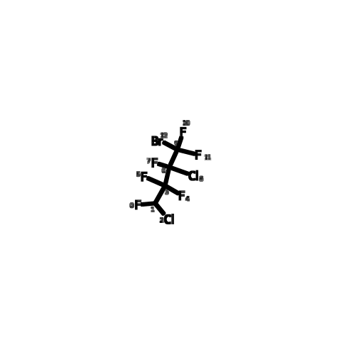 FC(Cl)C(F)(F)C(F)(Cl)C(F)(F)Br